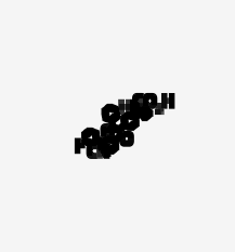 N#Cc1c(F)cccc1-c1nccc2c(=O)c(-c3ccc(C4(NC(=O)O)CCC4)cc3)c(-c3ccccc3)oc12